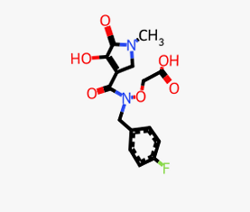 CN1CC(C(=O)N(Cc2ccc(F)cc2)OCC(=O)O)=C(O)C1=O